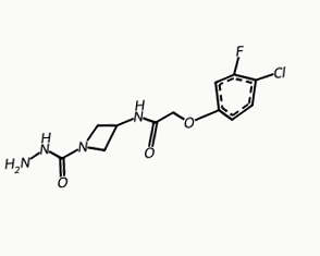 NNC(=O)N1CC(NC(=O)COc2ccc(Cl)c(F)c2)C1